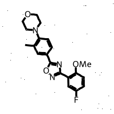 COc1ccc(F)cc1-c1noc(-c2ccc(N3CCOCC3)c(C)c2)n1